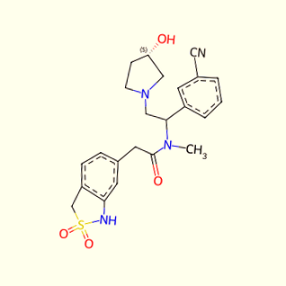 CN(C(=O)Cc1ccc2c(c1)NS(=O)(=O)C2)C(CN1CC[C@H](O)C1)c1cccc(C#N)c1